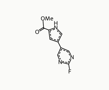 COC(=O)c1cc(-c2cnc(F)nc2)c[nH]1